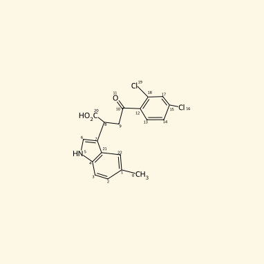 Cc1ccc2[nH]cc(C(CC(=O)c3ccc(Cl)cc3Cl)C(=O)O)c2c1